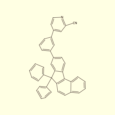 N#Cc1cc(-c2cccc(-c3ccc4c(c3)C(c3ccccc3)(c3ccccc3)c3ccc5ccccc5c3-4)c2)ccn1